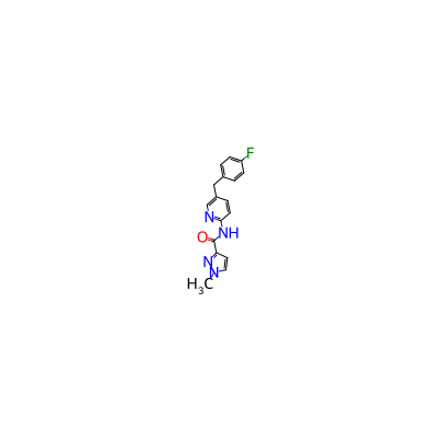 Cn1ccc(C(=O)Nc2ccc(Cc3ccc(F)cc3)cn2)n1